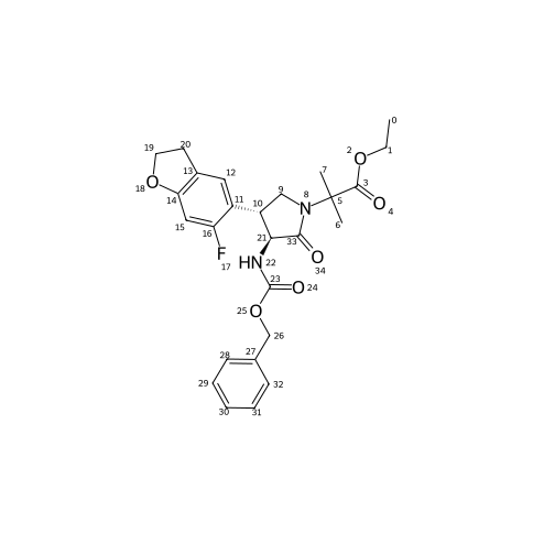 CCOC(=O)C(C)(C)N1C[C@@H](c2cc3c(cc2F)OCC3)[C@H](NC(=O)OCc2ccccc2)C1=O